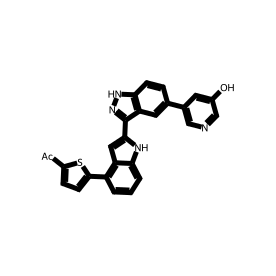 CC(=O)c1ccc(-c2cccc3[nH]c(-c4n[nH]c5ccc(-c6cncc(O)c6)cc45)cc23)s1